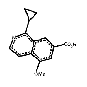 COc1cc(C(=O)O)cc2c(C3CC3)nccc12